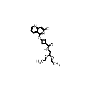 CCOC(CNC(=O)C1CC(Oc2nc(Cl)cc3ncccc23)C1)OCC